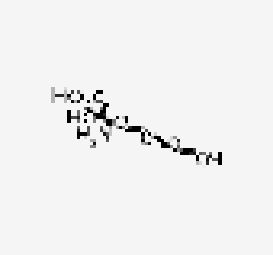 NC(OCCOCCOCCO)C(O)CC(=O)O